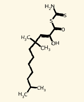 CC(C)CCCCCC(C)(C)C=C(O)C(=O)SC(N)=S